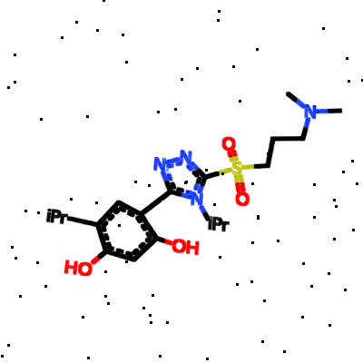 CC(C)c1cc(-c2nnc(S(=O)(=O)CCCN(C)C)n2C(C)C)c(O)cc1O